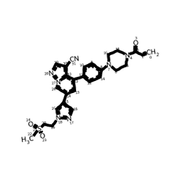 C=CC(=O)N1CCN(c2ccc(-c3cc(-c4cnn(CCS(C)(=O)=O)c4)cn4ncc(C#N)c34)cc2)CC1